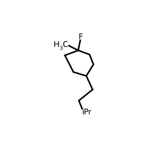 CC(C)CCC1CCC(C)(F)CC1